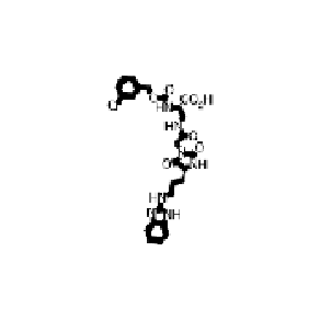 O=C(CN1C(=O)N[C@@H](CCCNc2nc3ccccc3[nH]2)C1=O)NC[C@H](NC(=O)OCc1cccc(Cl)c1)C(=O)O